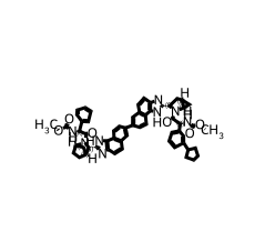 COC(=O)N[C@@H](C(=O)N1[C@@H]2CC[C@@H](C2)[C@H]1c1nc2ccc3cc(-c4ccc5c(ccc6nc([C@@H]7C[C@H]8C[C@H]8N7C(=O)[C@H](NC(=O)OC)c7cccc(C8CCCC8)c7)[nH]c65)c4)ccc3c2[nH]1)c1ccccc1